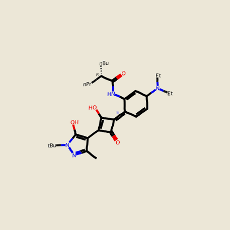 CCCC[C@@H](CCC)C(=O)NC1=CC(N(CC)CC)C=C/C1=C1\C(=O)C(c2c(C)nn(C(C)(C)C)c2O)=C1O